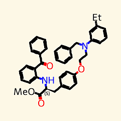 CCc1cccc(N(CCOc2ccc(C[C@H](Nc3ccccc3C(=O)c3ccccc3)C(=O)OC)cc2)Cc2ccccc2)c1